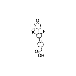 O=C(O)CC1CCN(c2cc(F)c(C3CCC(=O)NC3=O)c(F)c2)CC1